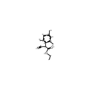 CCOC(=O)C(C#N)c1c(C)cc(C)cc1C